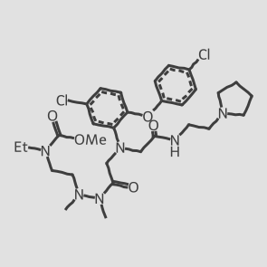 CCN(CCN(C)N(C)C(=O)CN(CC(=O)NCCN1CCCC1)c1cc(Cl)ccc1Oc1ccc(Cl)cc1)C(=O)OC